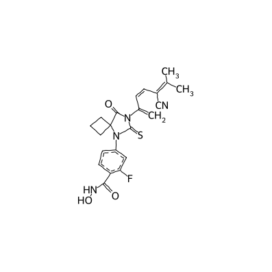 C=C(/C=C\C(C#N)=C(C)C)N1C(=O)C2(CCC2)N(c2ccc(C(=O)NO)c(F)c2)C1=S